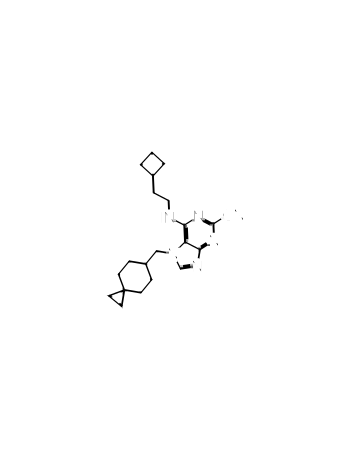 N#Cc1nc(NCCC2CCC2)c2c(ncn2CC2CCC3(CC2)CC3)n1